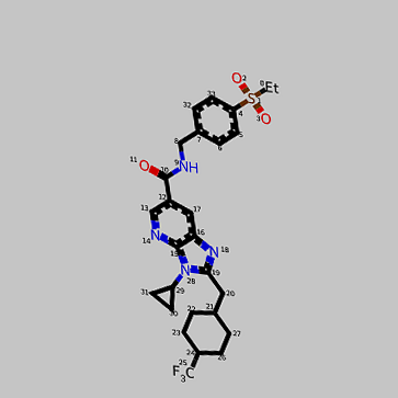 CCS(=O)(=O)c1ccc(CNC(=O)c2cnc3c(c2)nc(CC2CCC(C(F)(F)F)CC2)n3C2CC2)cc1